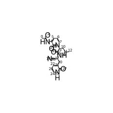 CC(=O)Nc1cccn([C@@H](CC(C)C)C(=O)N[C@H](C#N)Cc2ccc[nH]c2=O)c1=O